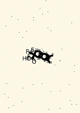 CC1C(C)C2CC1C1C3CC(C21)C(C(=O)O)(C(F)(F)F)C3